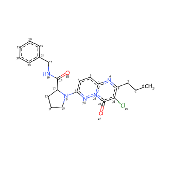 CCCc1nc2ccc(N3CCCC3C(=O)NCc3ccccc3)nn2c(=O)c1Cl